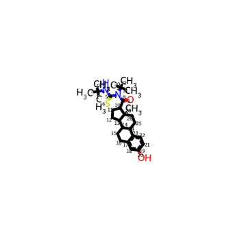 CC(C)(C)NC(=S)N(C(=O)C1CCC2C3CCc4cc(O)ccc4C3CC[C@]12C)C(C)(C)C